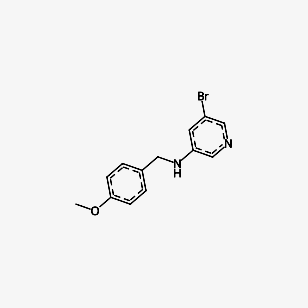 COc1ccc(CNc2cncc(Br)c2)cc1